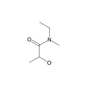 CCN(C)C(=O)C(C)[O]